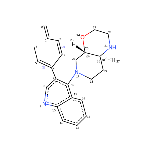 C=C/C=C\C(=C/C)c1cnc2ccccc2c1N1CC[C@@H]2NCCO[C@H]2C1